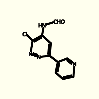 O=CNc1cc(-c2cccnc2)nnc1Cl